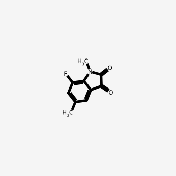 Cc1cc(F)c2c(c1)C(=O)C(=O)N2C